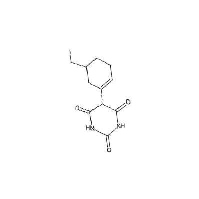 CCC1CCC=C(C2C(=O)NC(=O)NC2=O)C1